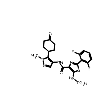 Cn1ncc(NC(=O)c2nc(-c3c(F)cccc3F)sc2NC(=O)O)c1C1CCC(=O)CC1